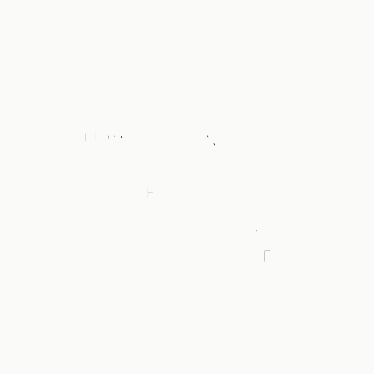 C=N/C(CCC(C)(C)F)=C(/F)C(C)CCCCCC